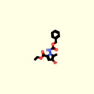 CCOC(=O)c1cc(Br)c(C)n1NC(=O)OCc1ccccc1